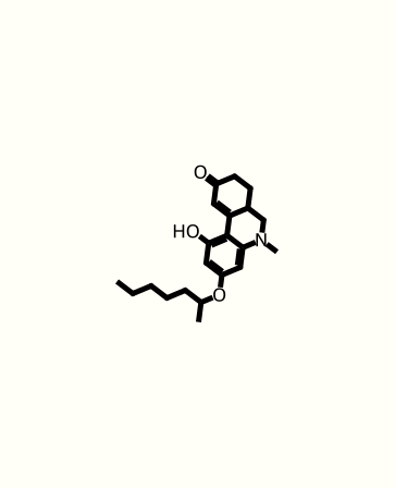 CCCCCC(C)Oc1cc(O)c2c(c1)N(C)CC1CCC(=O)C=C21